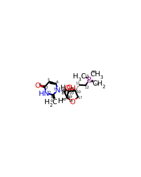 C=C1NC(=O)C=CN1[C@@H]1O[C@@]2(CCP(=C)(C)C)CO[C@@H]1[C@@H]2O